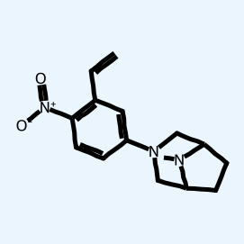 C=Cc1cc(N2CC3CCC(C2)N3C)ccc1[N+](=O)[O-]